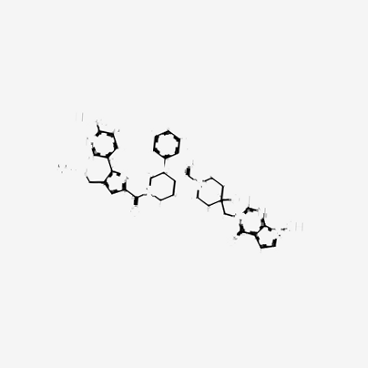 COCc1cc(C(=O)N2CC[C@@H](C(=O)N3CCC(O)(Cn4cnc5c(ccn5C)c4=O)CC3)[C@H](c3ccccc3)C2)sc1-c1ccc(C)nc1